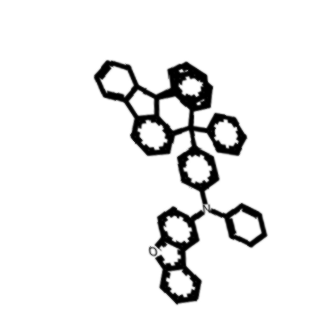 C1=CCC2C(=C1)c1cccc3c1C2(c1ccccc1)c1ccccc1C3(c1ccccc1)c1ccc(N(C2=CCCC=C2)c2ccc3oc4ccccc4c3c2)cc1